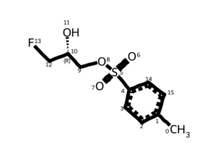 Cc1ccc(S(=O)(=O)OC[C@@H](O)CF)cc1